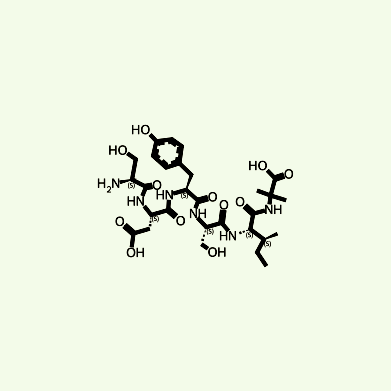 CC[C@H](C)[C@H](NC(=O)[C@H](CO)NC(=O)[C@H](Cc1ccc(O)cc1)NC(=O)[C@H](CC(=O)O)NC(=O)[C@@H](N)CO)C(=O)NC(C)(C)C(=O)O